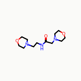 O=C(CN1CCOCC1)NCCN1CCOCC1